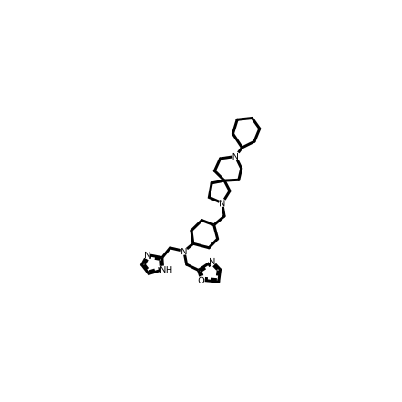 c1c[nH]c(CN(Cc2ncco2)C2CCC(CN3CCC4(CCN(C5CCCCC5)CC4)C3)CC2)n1